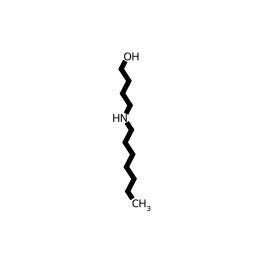 CCCCCCCNCCCCO